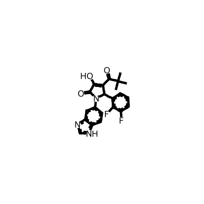 CC(C)(C)C(=O)C1=C(O)C(=O)N(c2ccc3[nH]cnc3c2)C1c1cccc(F)c1F